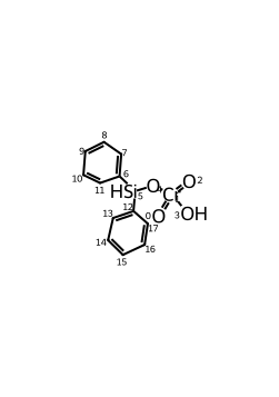 [O]=[Cr](=[O])([OH])[O][SiH](c1ccccc1)c1ccccc1